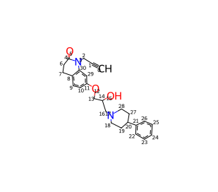 C#CCN1C(=O)CCc2ccc(OCC(O)CN3CCC(c4ccccc4)CC3)cc21